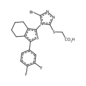 O=C(O)CSc1nnc(Br)n1-c1sc(-c2ccc(F)c(F)c2)c2c1CCCC2